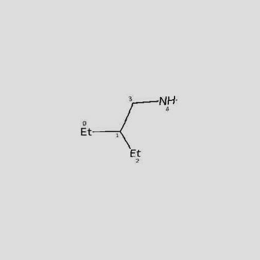 CCC(CC)C[NH]